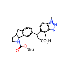 Cc1c(C(CC(=O)O)c2ccc3c(c2)C2C(CCN2C(=O)OC(C)(C)C)C3)ccc2c1nnn2C